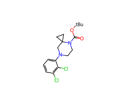 CC(C)(C)OC(=O)N1CCN(c2cccc(Cl)c2Cl)CC12CC2